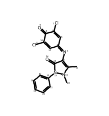 Cc1c(N=C2C=C(Cl)C(=O)C(Cl)=C2)c(=O)n(-c2ccccc2)n1C